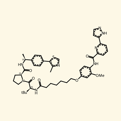 COc1cc(OCCCCCCC(=O)N[C@H](C(=O)N2CCC[C@H]2C(=O)N[C@@H](C)c2ccc(-c3scnc3C)cc2)C(C)(C)C)ccc1NC(=O)c1cccc(-c2ccn[nH]2)n1